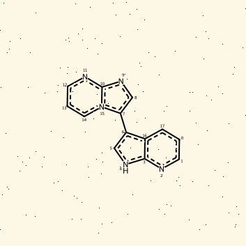 c1cnc2[nH]cc(-c3cnc4ncccn34)c2c1